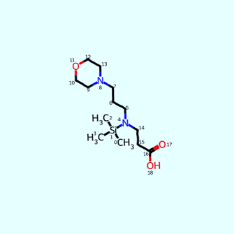 C[Si](C)(C)N(CCCN1CCOCC1)CCC(=O)O